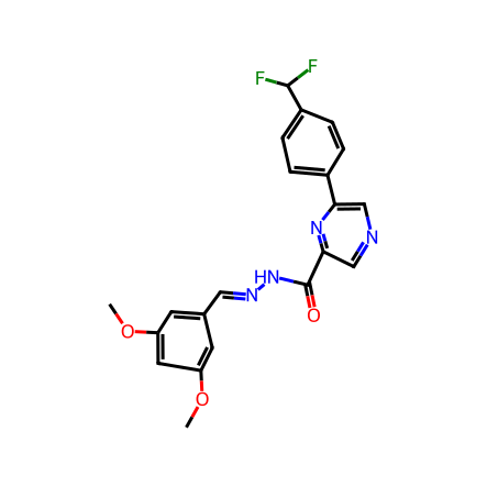 COc1cc(/C=N/NC(=O)c2cncc(-c3ccc(C(F)F)cc3)n2)cc(OC)c1